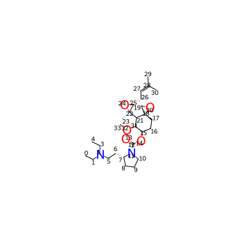 CCN(CC)CC[C@H]1CCCN1C(=O)O[C@@H]1CC[C@]2(CO2)C([C@@]2(C)O[C@@H]2CC=C(C)C)[C@@H]1OC